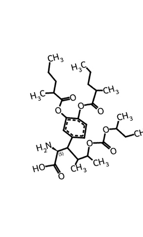 CCCC(C)C(=O)Oc1ccc(C(C(C)C(C)OC(=O)OC(C)CC)[C@H](N)C(=O)O)cc1OC(=O)C(C)CCC